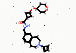 O=C(NCc1ccc2c(c1)CCN(C1=CC=C1)CC2)C1CC(OC2CCOCC2)C1